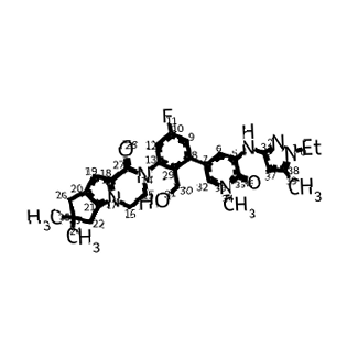 CCn1nc(Nc2cc(-c3cc(F)cc(N4CCn5c(cc6c5CC(C)(C)C6)C4=O)c3CO)cn(C)c2=O)cc1C